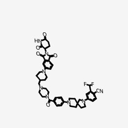 N#Cc1ccc(N2CCC3(CCN(c4ccc(C(=O)N5CCN(CC6CCN(c7ccc8c(c7)C(=O)N(C7CCC(=O)NC7=O)C8=O)CC6)CC5)cc4)CC3)C2)cc1C(F)F